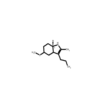 CCCC1=C(C)N[C@H]2CCC(SC)CC12